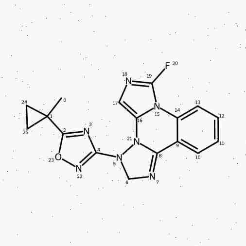 CC1(c2nc(N3CN=C4c5ccccc5-n5c(cnc5F)N43)no2)CC1